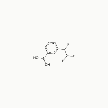 OB(O)c1cccc(C(F)C(F)F)c1